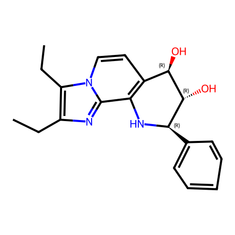 CCc1nc2c3c(ccn2c1CC)[C@@H](O)[C@H](O)[C@@H](c1ccccc1)N3